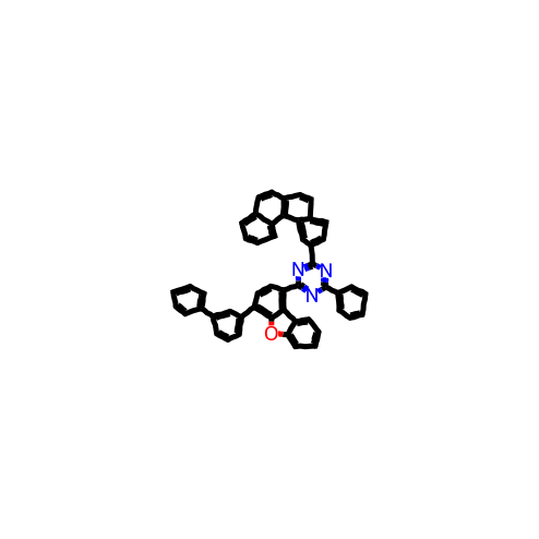 c1ccc(-c2cccc(-c3ccc(-c4nc(-c5ccccc5)nc(-c5ccc6ccc7ccc8ccccc8c7c6c5)n4)c4c3oc3ccccc34)c2)cc1